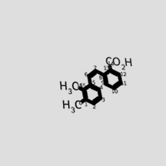 Cc1cccc(/C=C\c2ccccc2C(=O)O)c1C